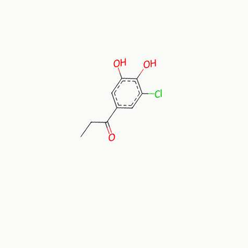 CCC(=O)c1cc(O)c(O)c(Cl)c1